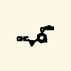 CCCCOc1cncc([C@H]2C[C@@H]2C=O)c1